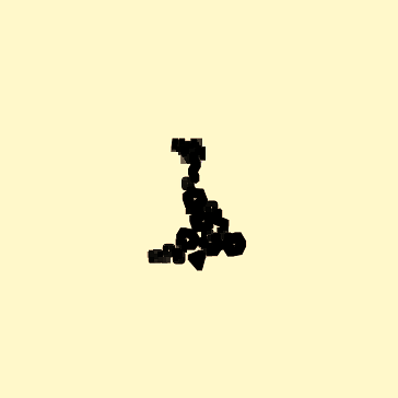 CN/N=C(/CCCOc1ccc(-c2cccc([C@H]3CCN(C(=O)OC(C)(C)C)C[C@@H]3C(=O)N(Cc3cn(CCCOC)c4ccccc34)C3CC3)c2)cc1)N=N